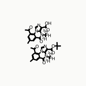 [2H]C([2H])([2H])n1c(=O)c2cc(C)cc(C(C)=O)c2n2cnc(C(=O)O)c12.[2H]C([2H])([2H])n1c(=O)c2cc(C)cc(C(C)=O)c2n2cnc(C(=O)OC(C)(C)C)c12